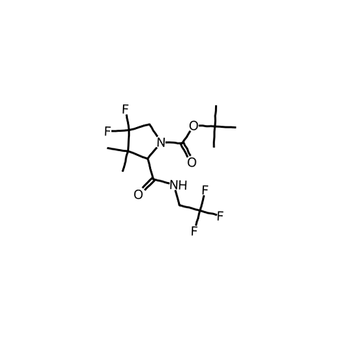 CC(C)(C)OC(=O)N1CC(F)(F)C(C)(C)C1C(=O)NCC(F)(F)F